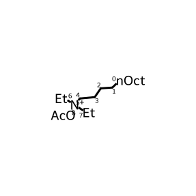 CCCCCCCCCCCC[N+](CC)(CC)OC(C)=O